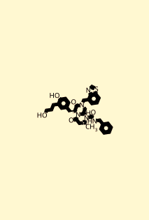 CN1CC(=O)N2[C@@H](Cc3ccc(O)c(CCCO)c3)C(=O)N(Cc3cccc4scnc34)C[C@@H]2N1C(=O)NCc1ccccc1